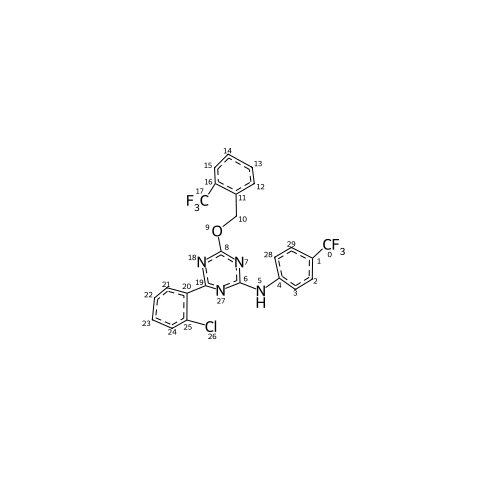 FC(F)(F)c1ccc(Nc2nc(OCc3ccccc3C(F)(F)F)nc(-c3ccccc3Cl)n2)cc1